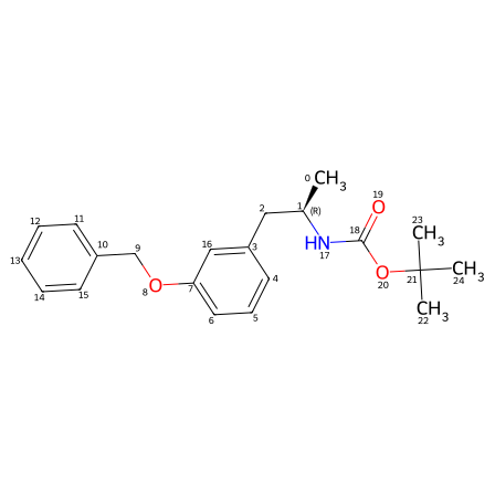 C[C@H](Cc1cccc(OCc2ccccc2)c1)NC(=O)OC(C)(C)C